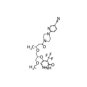 COCC(COC(C)CC(=O)N1CCN(c2ccc(C#N)cn2)CC1)Oc1cn[nH]c(=O)c1C(F)(F)F